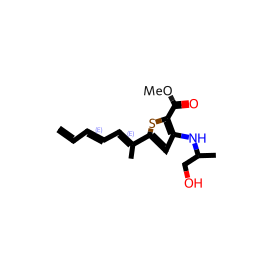 C=C/C=C/C=C(\C)c1cc(NC(C)CO)c(C(=O)OC)s1